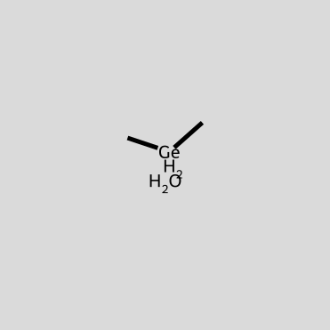 O.[CH3][GeH2][CH3]